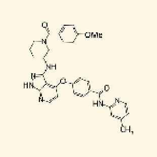 COc1ccc(C(=O)N2CCCC(Nc3n[nH]c4nccc(Oc5ccc(C(=O)Nc6cc(C)ccn6)cc5)c34)C2)cc1